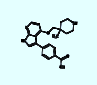 CC1(COc2ccnc3[nH]cc(-c4ccc(C(=O)O)cc4)c23)CCNCC1